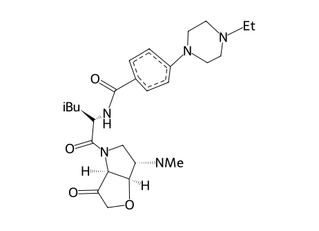 CC[C@H](C)[C@H](NC(=O)c1ccc(N2CCN(CC)CC2)cc1)C(=O)N1C[C@H](NC)[C@H]2OCC(=O)[C@H]21